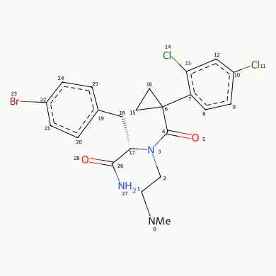 CNCCN(C(=O)C1(c2ccc(Cl)cc2Cl)CC1)[C@@H](Cc1ccc(Br)cc1)C(N)=O